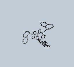 O=C(OC(=O)c1cccc2ccccc12)OC(=O)c1cccc2ccccc12.[Cu].[Cu].[Cu].[Cu]